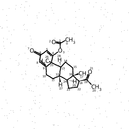 CC(=O)OC1=CC(=O)C=C2CC[C@@H]3[C@H](CC[C@]4(C)[C@@H](C(C)=O)CC[C@@H]34)[C@]21C